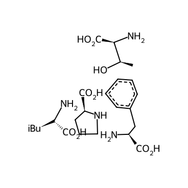 CC[C@H](C)[C@H](N)C(=O)O.C[C@@H](O)[C@H](N)C(=O)O.N[C@@H](Cc1ccccc1)C(=O)O.O=C(O)[C@@H]1CCCN1